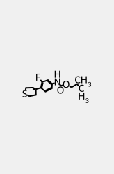 CC(C)COC(=O)Nc1ccc(C2=CCSCC2)c(F)c1